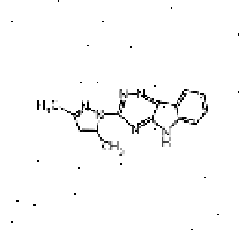 Cc1cc(C)n(-c2nnc3c(n2)[nH]c2ccccc23)n1